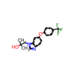 CC(C)(O)Cn1cnc2ccc(Oc3ccc(C(F)(F)F)cc3)cc21